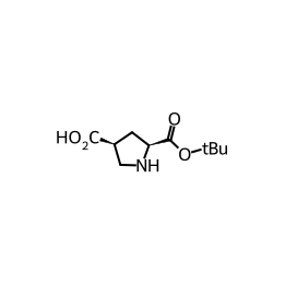 CC(C)(C)OC(=O)[C@@H]1C[C@H](C(=O)O)CN1